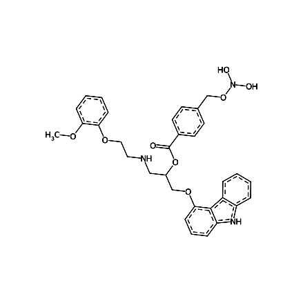 COc1ccccc1OCCNCC(COc1cccc2[nH]c3ccccc3c12)OC(=O)c1ccc(CON(O)O)cc1